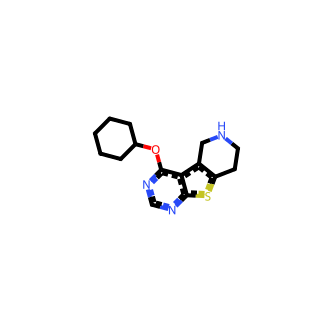 c1nc(OC2CCCCC2)c2c3c(sc2n1)CCNC3